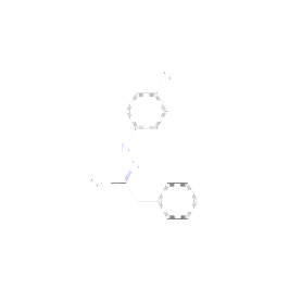 N#CC(Cc1ccccc1)=NNc1ccc([N+](=O)[O-])cc1